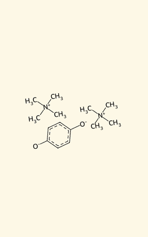 C[N+](C)(C)C.C[N+](C)(C)C.[O-]c1ccc([O-])cc1